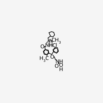 CN[C@H](CNC(=O)c1ccc(C)c(C(OCCNC(=O)O)c2cccc(Cl)c2)c1)CC1CCCCC1